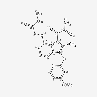 COc1cccc(Cn2c(C)c(C(=O)C(N)=O)c3c(OCC(=O)OC(C)(C)C)cccc32)c1